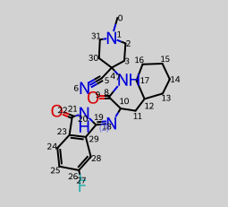 CN1CCC(C#N)(NC(=O)C(CC2CCCCC2)/N=C2\NC(=O)c3ccc(F)cc32)CC1